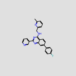 Cc1cccc(CNc2nc(-c3cccnc3)nc3cc(-c4ccc(F)cc4)ccc23)n1